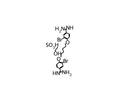 N=C(N)c1ccc(OCCCCCCOc2ccc(C(=N)N)cc2Br)c(Br)c1.O=S(=O)(O)CCO